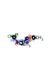 Cc1ccc(S(=O)(=O)n2ccc3c(NC4CN(C(=O)CNc5cc(Cl)cc(Cl)c5)CCC4C)ncnc32)cc1